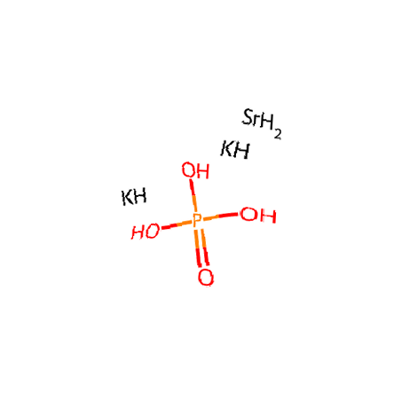 O=P(O)(O)O.[KH].[KH].[SrH2]